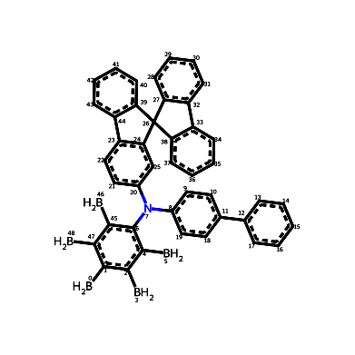 Bc1c(B)c(B)c(N(c2ccc(-c3ccccc3)cc2)c2ccc3c(c2)C2(c4ccccc4-c4ccccc42)c2ccccc2-3)c(B)c1B